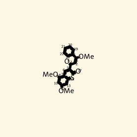 COC(=CC(=O)c1cc2c(OC)cc(OC)cc2sc1=O)c1ccccc1